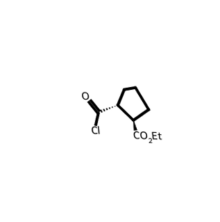 CCOC(=O)[C@@H]1CCC[C@H]1C(=O)Cl